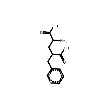 NC(CC(Cc1cccnc1)C(=O)O)C(=O)O